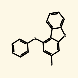 Fc1cc(Sc2ccccc2)c2c(c1)sc1ccccc12